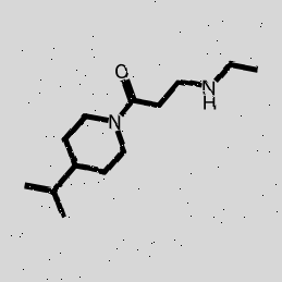 CCNCCC(=O)N1CCC(C(C)C)CC1